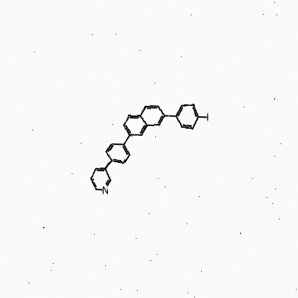 Ic1ccc(-c2ccc3ccc(-c4ccc(-c5cccnc5)cc4)cc3c2)cc1